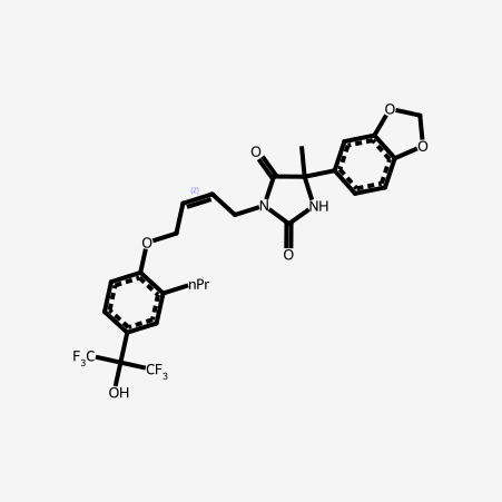 CCCc1cc(C(O)(C(F)(F)F)C(F)(F)F)ccc1OC/C=C\CN1C(=O)NC(C)(c2ccc3c(c2)OCO3)C1=O